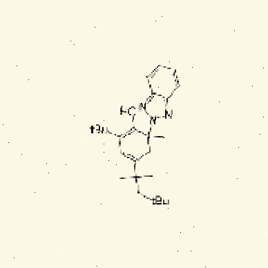 CC(C)(C)CC(C)(C)C1=CC(C(C)(C)C)=C(O)C(C)(n2nc3ccccc3n2)C1